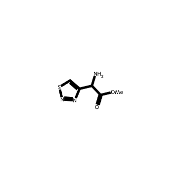 COC(=O)C(N)c1csnn1